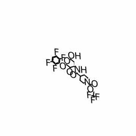 O=C(O)C[C@H](NC(=O)C1CCN(C(=O)OCC(F)(F)F)CC1)C(=O)COc1c(F)c(F)cc(F)c1F